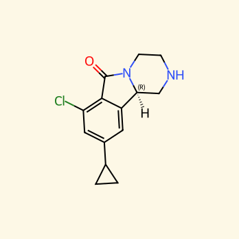 O=C1c2c(Cl)cc(C3CC3)cc2[C@@H]2CNCCN12